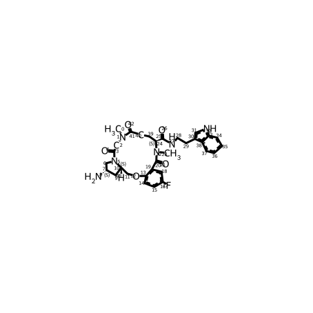 CN1CC(=O)N2C[C@@H](N)C[C@H]2COc2ccc(F)cc2C(=O)N(C)[C@H](C(=O)NCCc2c[nH]c3ccccc23)CCC1=O